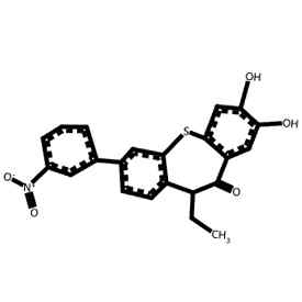 CCC1C(=O)c2cc(O)c(O)cc2Sc2cc(-c3cccc([N+](=O)[O-])c3)ccc21